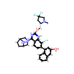 CN1CC(F)(F)C[C@H]1COc1nc(N2CC3CCC(C2)N3)c2ccc(-c3cc(O)cc4ccccc34)c(F)c2n1